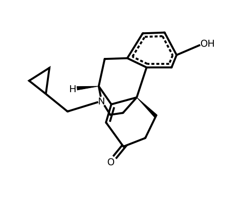 O=C1C=C2[C@H]3Cc4ccc(O)cc4[C@]2(CC1)CCN3CC1CC1